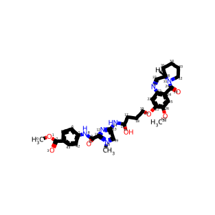 COC(=O)c1ccc(NC(=O)c2nc(NC(O)CCCOc3cc4c(cc3OC)C(=O)N3CCCC[C@H]3C=N4)cn2C)cc1